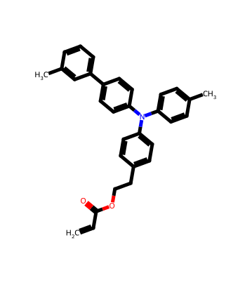 C=CC(=O)OCCc1ccc(N(c2ccc(C)cc2)c2ccc(-c3cccc(C)c3)cc2)cc1